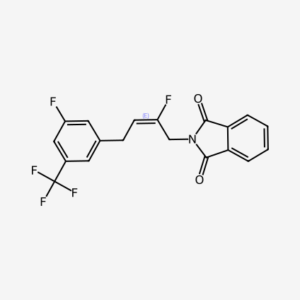 O=C1c2ccccc2C(=O)N1C/C(F)=C\Cc1cc(F)cc(C(F)(F)F)c1